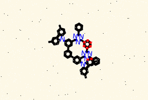 Cc1ccc2c(c1)c1cc(C)ccc1n2-c1cc(-c2cccc(-c3ccc(-n4c5ccc(C)cc5c5cc(C)ccc54)c(-c4nc(-c5ccccc5)nc(-c5ccccc5)n4)c3)c2)cc(-c2nc(-c3ccccc3)nc(-c3ccccc3)n2)c1